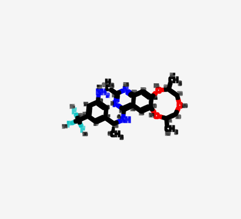 Cc1nc(N[C@H](C)c2cc(N)cc(C(F)(F)F)c2)c2cc3c(cc2n1)OC(C)COCC(C)O3